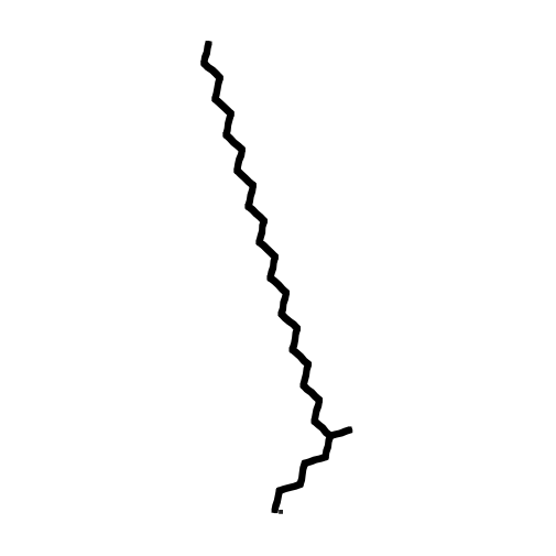 [CH2]CCCCC(C)CCCCCCCCCCCCCCCCCCCCCC